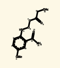 COc1ccc(NOOC(=O)COC(C)=O)c(C(N)=O)c1